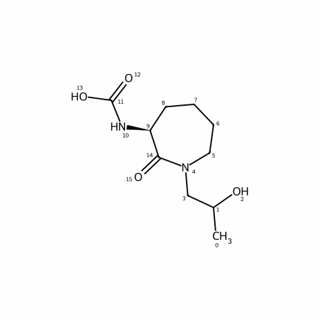 CC(O)CN1CCCC[C@H](NC(=O)O)C1=O